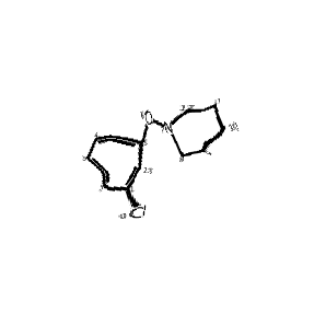 Clc1cccc(ON2CCCCC2)c1